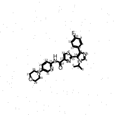 CC(C)n1cnc(-c2ccc(F)cc2)c1-c1nc(C(=O)Nc2ccc(N3CCOCC3)cn2)cs1